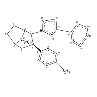 Cc1ccc([C@H]2CC3CCC(C2c2ncc(-c4ccccc4)o2)N3C)cc1